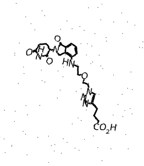 O=C(O)CCCc1cn(CCOCCNc2cccc3c2CN(C2CCC(=O)NC2=O)C3=O)nn1